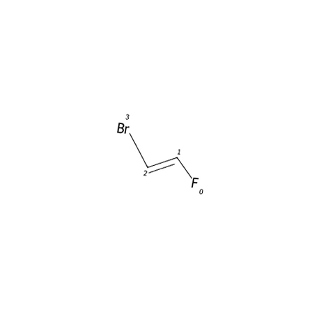 FC=CBr